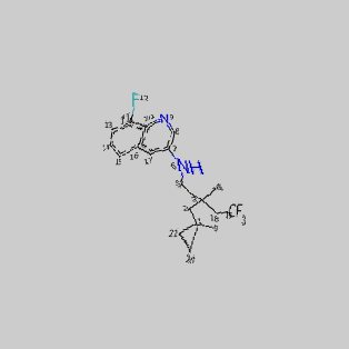 CC1(CC(C)(CNc2cnc3c(F)cccc3c2)CC(F)(F)F)CC1